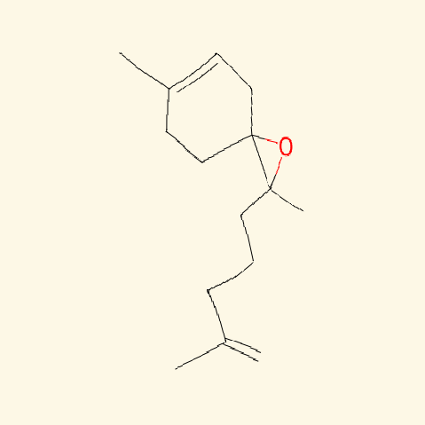 C=C(C)CCCC1(C)OC12CC=C(C)CC2